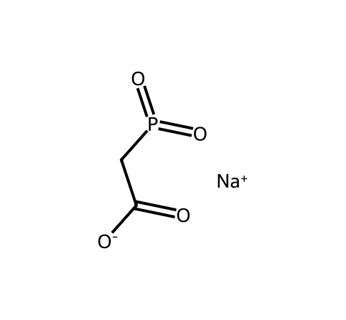 O=C([O-])CP(=O)=O.[Na+]